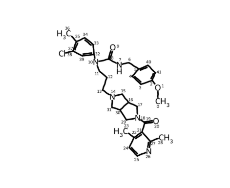 COc1ccc(CNC(=O)N(CCCN2CC3CN(C(=O)c4c(C)ccnc4C)CC3C2)c2ccc(C)c(Cl)c2)cc1